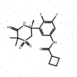 CC1(C)C(=N)N[C@](C)(c2cc(NC(=O)C3CCC3)cc(F)c2F)CS1(=O)=O